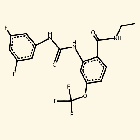 CCNC(=O)c1ccc(OC(F)(F)F)cc1NC(=O)Nc1cc(F)cc(F)c1